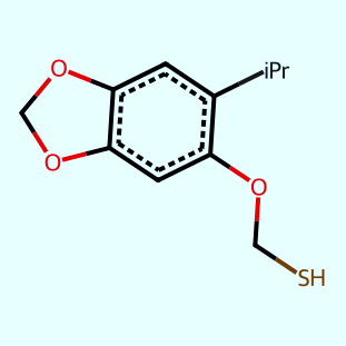 CC(C)c1cc2c(cc1OCS)OCO2